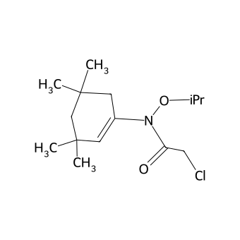 CC(C)ON(C(=O)CCl)C1=CC(C)(C)CC(C)(C)C1